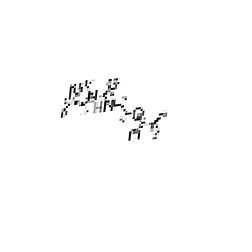 C=C(C)C(=O)OCCNC(=O)n1cnc(C)c1